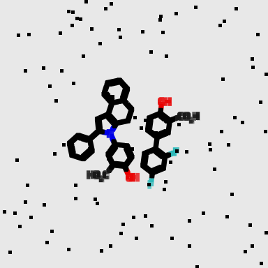 O=C(O)c1cc(-c2ccc(F)cc2F)ccc1O.O=C(O)c1cc(-n2c(-c3ccccc3)cc3c2CCc2ccccc2-3)ccc1O